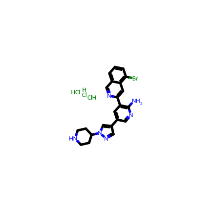 Cl.Cl.Cl.Nc1ncc(-c2cnn(C3CCNCC3)c2)cc1-c1cc2c(Br)cccc2cn1